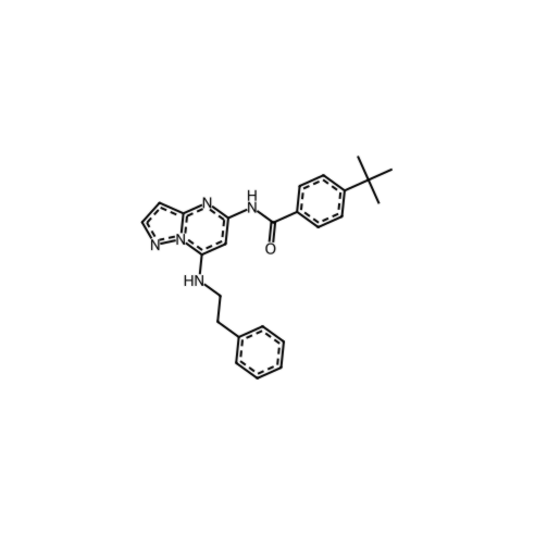 CC(C)(C)c1ccc(C(=O)Nc2cc(NCCc3ccccc3)n3nccc3n2)cc1